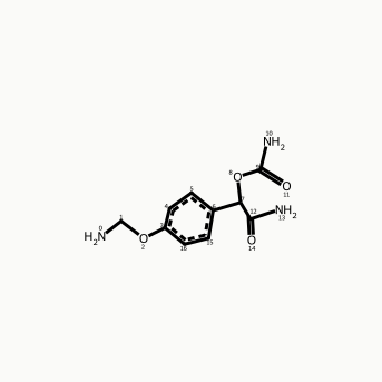 NCOc1ccc(C(OC(N)=O)C(N)=O)cc1